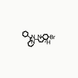 [2H]c1c(Br)ccc2nc(-c3nc(-c4ccccc4)c4ccccn34)ccc12